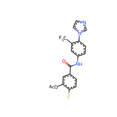 CC(=O)Oc1cc(C(=O)Nc2ccc(-n3ccnc3)c(C(F)(F)F)c2)ccc1F